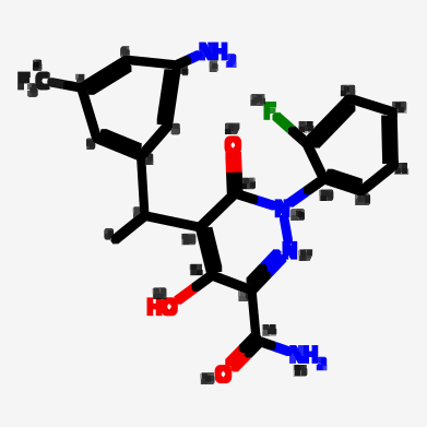 CC(c1cc(N)cc(C(F)(F)F)c1)c1c(O)c(C(N)=O)nn(-c2ccccc2F)c1=O